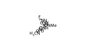 CNc1cc(Nc2cccn(-c3cnc(C)o3)c2=O)nc2c(C(=O)N[C@H]3C[C@H]3F)cnn12